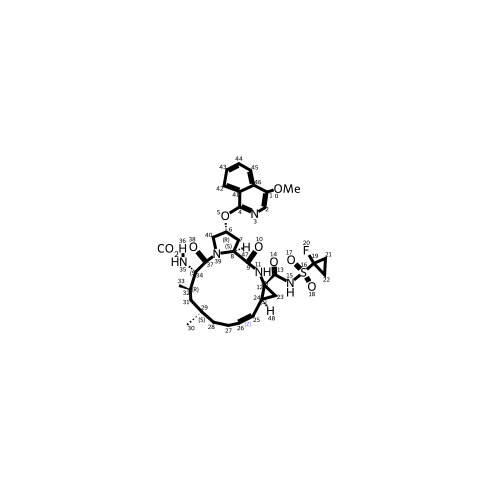 COc1cnc(O[C@@H]2C[C@H]3C(=O)N[C@]4(C(=O)NS(=O)(=O)C5(F)CC5)C[C@H]4/C=C\CC[C@H](C)C[C@@H](C)[C@H](NC(=O)O)C(=O)N3C2)c2ccccc12